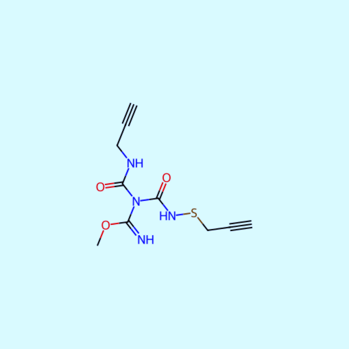 C#CCNC(=O)N(C(=N)OC)C(=O)NSCC#C